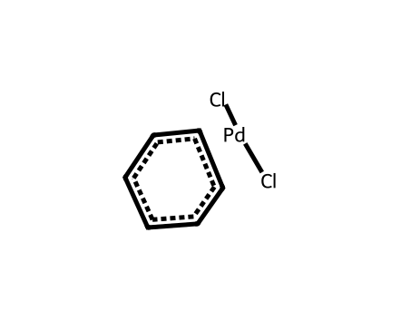 [Cl][Pd][Cl].c1ccccc1